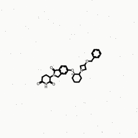 O=C1CCC(N2Cc3cc(O[C@@H]4CCCCC4N4CC(OCc5ccccc5)C4)ccc3C2=O)C(=O)N1